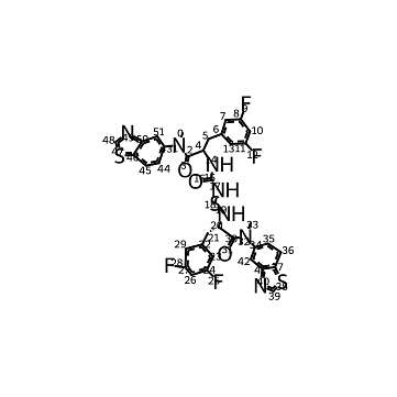 CN(C(=O)C(Cc1cc(F)cc(F)c1)NC(=O)NSN[C@@H](Cc1cc(F)cc(F)c1)C(=O)N(C)c1ccc2scnc2c1)c1ccc2scnc2c1